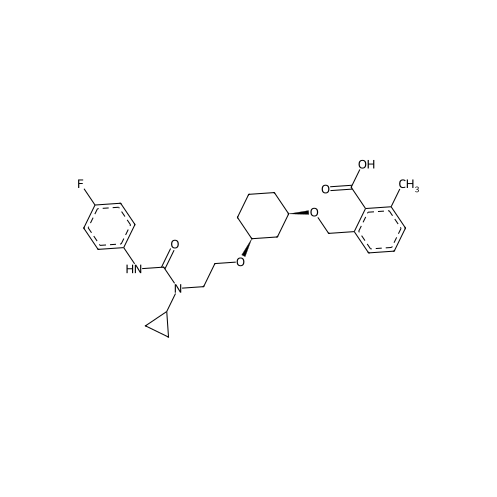 Cc1cccc(CO[C@@H]2CCC[C@H](OCCN(C(=O)Nc3ccc(F)cc3)C3CC3)C2)c1C(=O)O